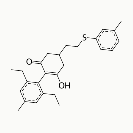 CCc1cc(C)cc(CC)c1C1=C(O)CC(CCSc2cccc(C)c2)CC1=O